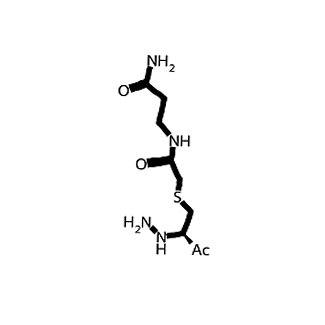 CC(=O)[C@H](CSCC(=O)NCCC(N)=O)NN